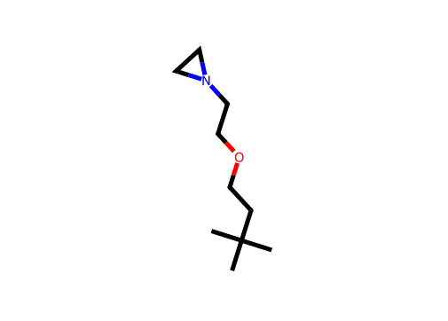 CC(C)(C)CCOCCN1CC1